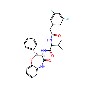 CC(C)C(NC(=O)Cc1cc(F)cc(F)c1)C(=O)N[C@@H]1C(=O)Nc2ccccc2O[C@@H]1c1ccccc1